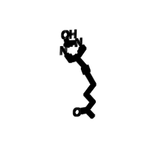 CC(=O)CCCC#Cc1cnc(O)nc1